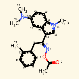 CC(=O)O/N=C(\Cc1ccccc1C)c1cn(C)c2ccc(N(C)C)cc12